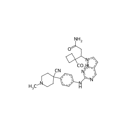 CN1CCC(C#N)(c2ccc(Nc3ncc4ccn(C(CC(N)=O)C5(C(=O)O)CCC5)c4n3)cc2)CC1